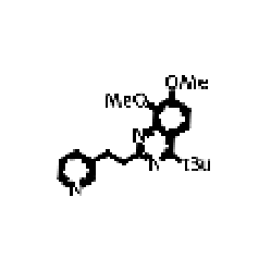 COc1ccc2c(C(C)(C)C)nc(CCc3cccnc3)nc2c1OC